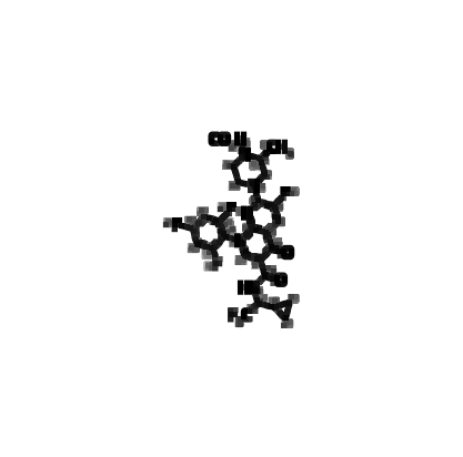 C[C@H]1CN(c2nc3c(cc2F)c(=O)c(C(=O)NC(C2CC2)C(F)(F)F)cn3-c2c(F)cc(F)cc2F)CCN1C(=O)O